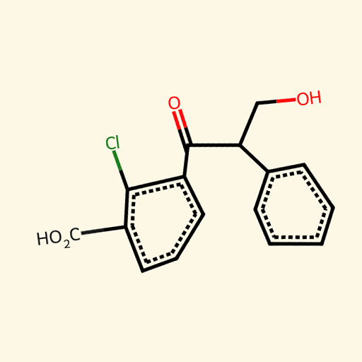 O=C(O)c1cccc(C(=O)C(CO)c2ccccc2)c1Cl